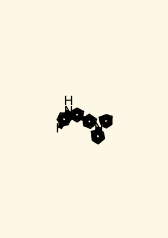 Fc1ccc2[nH]c3ccc(-c4ccc(N(c5ccccc5)c5ccccc5)cc4)cc3c2c1